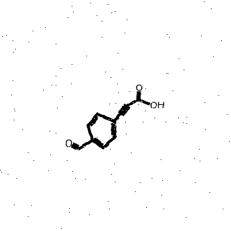 O=Cc1ccc(C#CC(=O)O)cc1